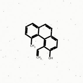 C=Cc1c(O)ccc2ccc3cccc(C)c3c12